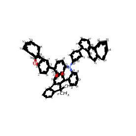 CC1(C)c2ccccc2-c2cccc(-c3ccccc3N(c3ccc(-c4ccc5oc6ccccc6c5c4)cc3)c3ccc(-c4cccc5c4ccc4ccccc45)cc3)c21